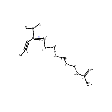 CC#C/C(=N\OCCNCCOC(N)=O)C(C)C